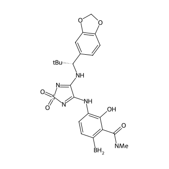 Bc1ccc(NC2=NS(=O)(=O)N=C2N[C@@H](c2ccc3c(c2)OCO3)C(C)(C)C)c(O)c1C(=O)NC